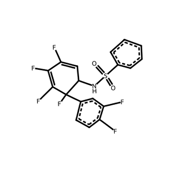 O=S(=O)(NC1C=C(F)C(F)=C(F)C1(F)c1ccc(F)c(F)c1)c1ccccc1